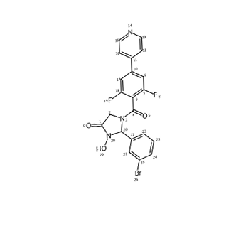 O=C1CN(C(=O)c2c(F)cc(-c3ccncc3)cc2F)C(c2cccc(Br)c2)N1O